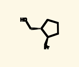 CC(C)[C@@H]1CCC[C@H]1CO